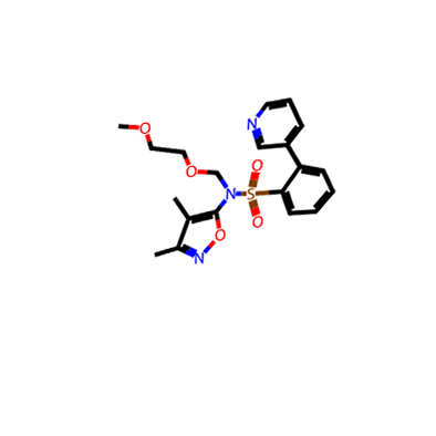 COCCOCN(c1onc(C)c1C)S(=O)(=O)c1ccccc1-c1cccnc1